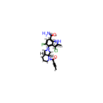 CC#CC(=O)N1CCC[C@H]2CN(c3c(F)cc(C(N)=O)c4[nH]c(C)c(Cl)c34)C[C@H]21